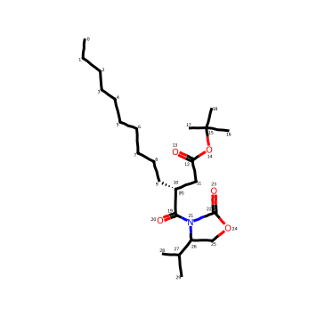 CCCCCCCCCC[C@H](CC(=O)OC(C)(C)C)C(=O)N1C(=O)OCC1C(C)C